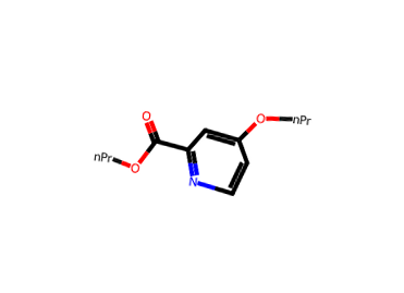 CCCOC(=O)c1cc(OCCC)ccn1